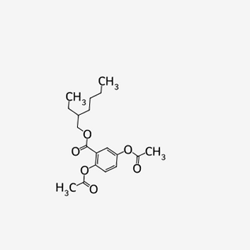 CCCCC(CC)COC(=O)c1cc(OC(C)=O)ccc1OC(C)=O